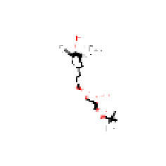 CCC(C)(C)C(=O)OCC(O)COC(=O)CCc1cc(C(C)(C)C)c(O)c(C(C)(C)C)c1